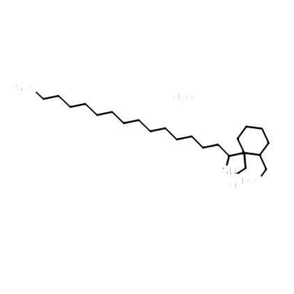 CCCCCCCCCCCCCCCC(N)C1(CC)CCCCC1CC.O